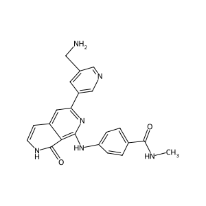 CNC(=O)c1ccc(Nc2nc(-c3cncc(CN)c3)cc3cc[nH]c(=O)c23)cc1